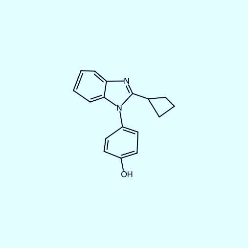 Oc1ccc(-n2c(C3CCC3)nc3ccccc32)cc1